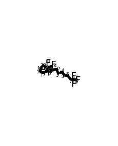 FC(CCCCCCC(F)(F)F)[C](F)(F)[Al]1[CH2]CCC[CH2]1